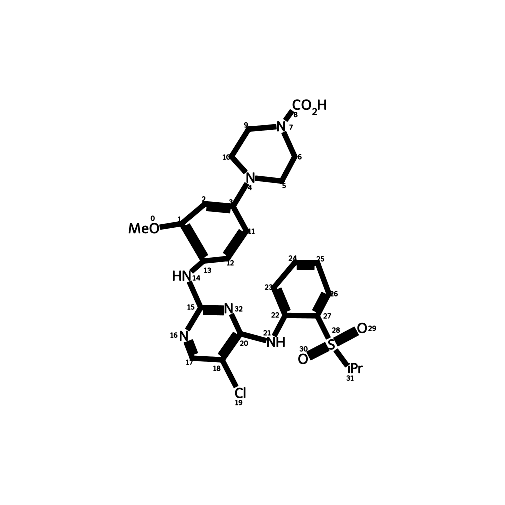 COc1cc(N2CCN(C(=O)O)CC2)ccc1Nc1ncc(Cl)c(Nc2ccccc2S(=O)(=O)C(C)C)n1